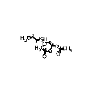 C=CC[SiH2]OCC(OC(C)=O)OC(C)=O